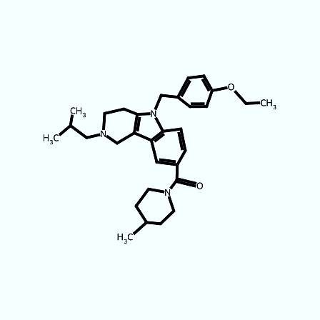 CCOc1ccc(Cn2c3c(c4cc(C(=O)N5CCC(C)CC5)ccc42)CN(CC(C)C)CC3)cc1